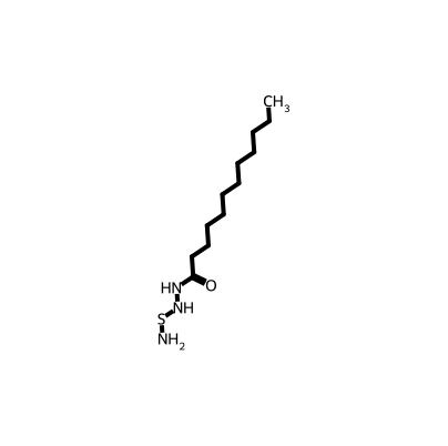 CCCCCCCCCCCC(=O)NNSN